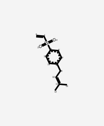 C=CS(=O)(=O)c1ccc(CC=C(C)C)cc1